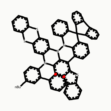 CCCCc1ccc(N2c3cc4c(cc3B3c5c2cc2c(sc6ccccc62)c5-c2cccc5c2N3c2ccccc2C52c3ccccc3-c3ccccc32)Sc2ccccc2S4)c(-c2ccccc2)c1